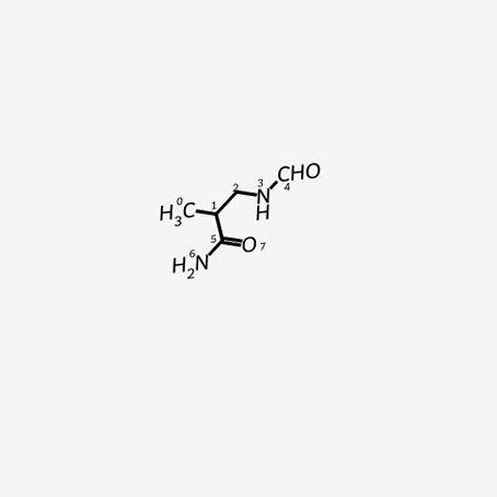 CC(CNC=O)C(N)=O